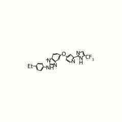 CCc1ccc(Nc2nc3cc(Oc4ccnc(-c5ncc(C(F)(F)F)[nH]5)c4)ccc3n2C)cc1